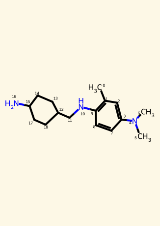 Cc1cc(N(C)C)ccc1NCC1CCC(N)CC1